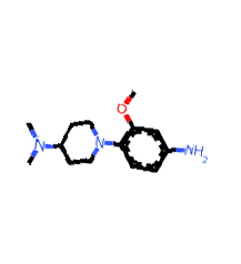 COc1cc(N)ccc1N1CCC(N(C)C)CC1